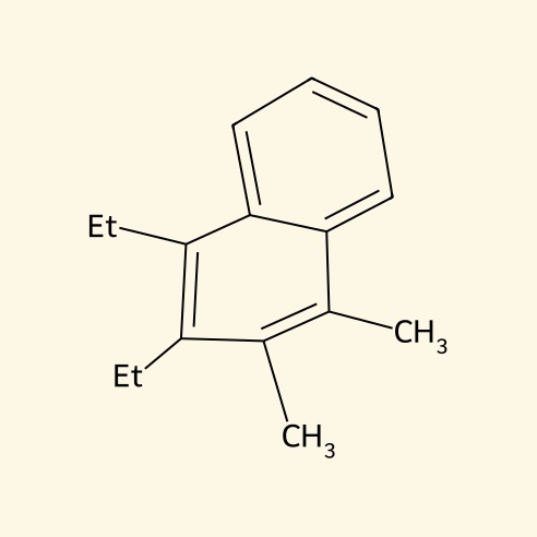 CCc1c(C)c(C)c2ccccc2c1CC